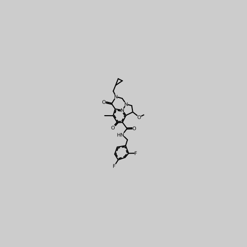 COC1CN2CN(CC3CC3)C(=O)c3c(C)c(=O)c(C(=O)NCc4ccc(F)cc4F)c1n32